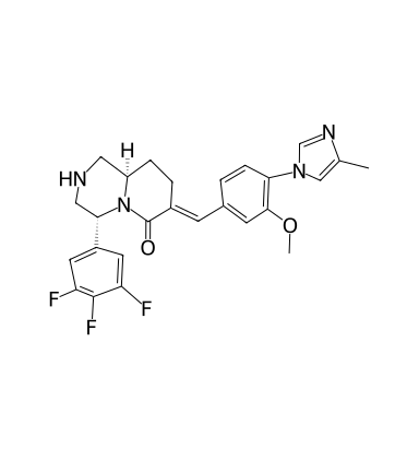 COc1cc(/C=C2\CC[C@@H]3CNC[C@@H](c4cc(F)c(F)c(F)c4)N3C2=O)ccc1-n1cnc(C)c1